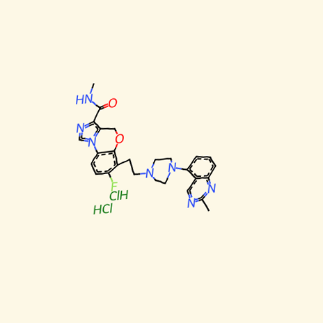 CNC(=O)c1ncn2c1COc1c-2ccc(F)c1CCN1CCN(c2cccc3nc(C)ncc23)CC1.Cl.Cl